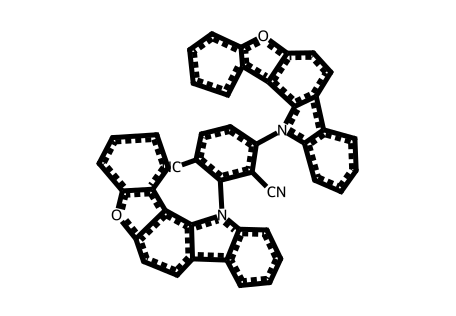 N#Cc1ccc(-n2c3ccccc3c3ccc4oc5ccccc5c4c32)c(C#N)c1-n1c2ccccc2c2ccc3oc4ccccc4c3c21